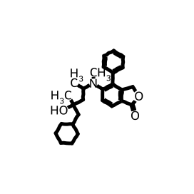 CC(CC(C)(O)CC1CCCCC1)N(C)c1ccc2c(c1-c1ccccc1)COC2=O